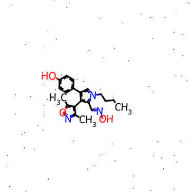 CCCCn1cc(-c2ccc(O)cc2)c(-c2c(C)noc2C)c1/C=N/O